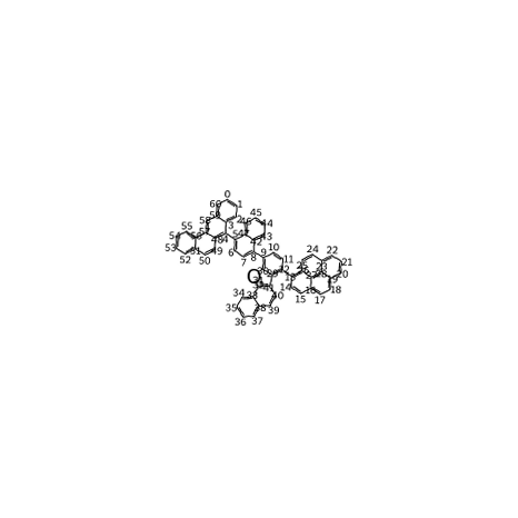 c1ccc2c(-c3ccc(-c4ccc(-c5ccc6ccc7cccc8ccc5c6c78)c5c4oc4c6ccccc6ccc45)c4ccccc34)c3ccc4ccccc4c3cc2c1